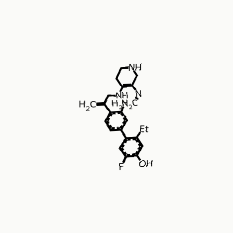 C=NC1=C(NCC(=C)c2ccc(-c3cc(F)c(O)cc3CC)cc2N)CCNC1